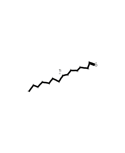 CCCCCCCCCCCCCC=O.[Ti]